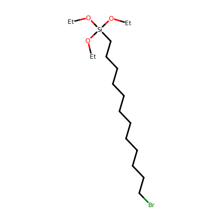 CCO[Si](CCCCCCCCCCCCBr)(OCC)OCC